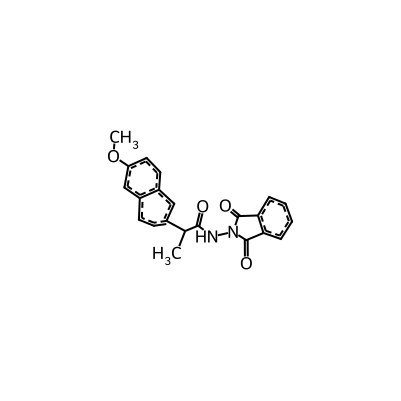 COc1ccc2cc(C(C)C(=O)NN3C(=O)c4ccccc4C3=O)ccc2c1